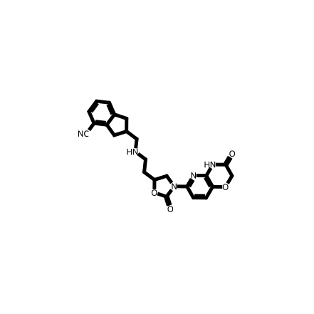 N#Cc1cccc2c1CC(CNCCC1CN(c3ccc4c(n3)NC(=O)CO4)C(=O)O1)C2